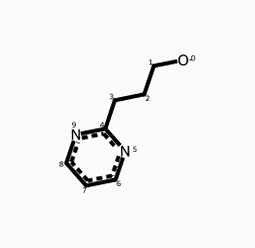 [O]CCCc1ncccn1